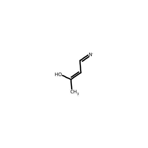 CC(O)=CC=[N]